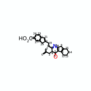 C=C(C)CC1C(=O)C2=C(CC3=C2CCCC3)N=C1CCC1=Cc2ccc(C(=O)O)cc2C1